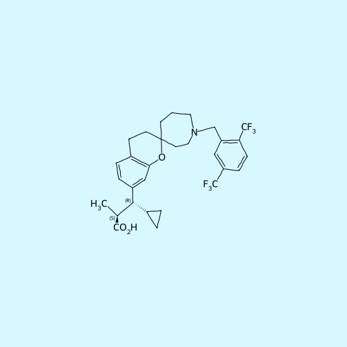 C[C@H](C(=O)O)[C@H](c1ccc2c(c1)OC1(CCCN(Cc3cc(C(F)(F)F)ccc3C(F)(F)F)CC1)CC2)C1CC1